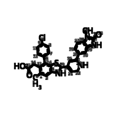 Cc1cc2c(c(-c3ccc(Cl)cc3)c1CC(=O)O)SC(C1=CCNC(c3ccc4c(c3)[nH]c(=O)n4C)=C1)N2